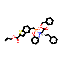 C=CCOC(=O)c1cc2cc(CP(=O)(N[C@@H](CCc3ccccc3)C(=O)OCc3ccccc3)Oc3ccccc3)ccc2s1